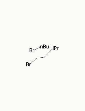 CC(C)CCBr.CCCCBr